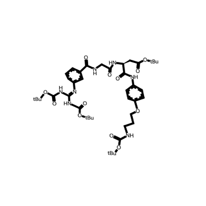 CC(C)(C)OC(=O)C[C@H](NC(=O)CNC(=O)c1cccc(N=C(NC(=O)OC(C)(C)C)NC(=O)OC(C)(C)C)c1)C(=O)Nc1ccc(OCCCNC(=O)OC(C)(C)C)cc1